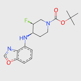 CC(C)(C)OC(=O)N1CC[C@@H](Nc2cccc3ocnc23)[C@@H](F)C1